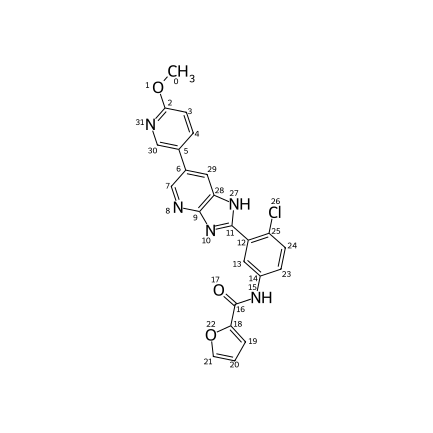 COc1ccc(-c2cnc3nc(-c4cc(NC(=O)c5ccco5)ccc4Cl)[nH]c3c2)cn1